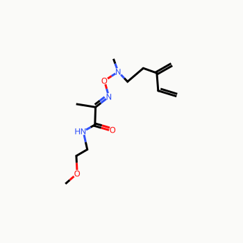 C=CC(=C)CCN(C)O/N=C(\C)C(=O)NCCOC